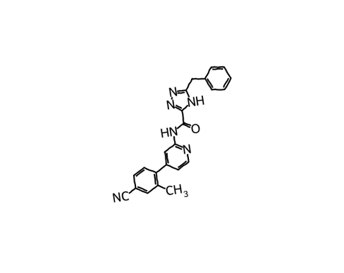 Cc1cc(C#N)ccc1-c1ccnc(NC(=O)c2nnc(Cc3ccccc3)[nH]2)c1